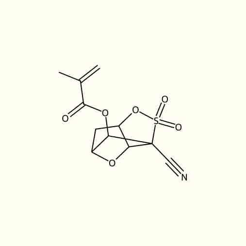 C=C(C)C(=O)OC1C2CC3OS(=O)(=O)C1(C#N)C3O2